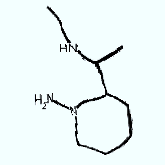 CCNC(C)C1CCCCN1N